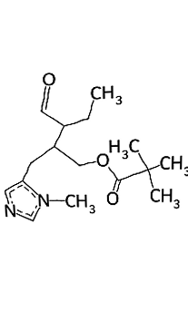 CCC(C=O)C(COC(=O)C(C)(C)C)Cc1cncn1C